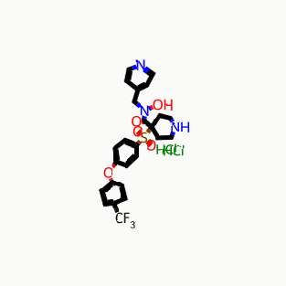 Cl.Cl.O=C(N(O)Cc1ccncc1)C1(S(=O)(=O)c2ccc(Oc3ccc(C(F)(F)F)cc3)cc2)CCNCC1